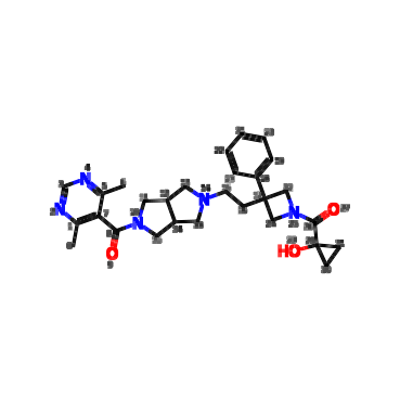 Cc1ncnc(C)c1C(=O)N1CC2CN(CCC3(c4ccccc4)CN(C(=O)C4(O)CC4)C3)CC2C1